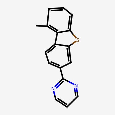 Cc1cccc2sc3cc(-c4ncccn4)ccc3c12